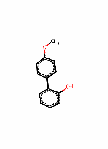 COc1ccc(-c2cc[c]cc2O)cc1